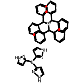 c1cc(B(c2cc[nH]n2)c2cc[nH]n2)n[nH]1.c1ccc([CH](c2ccccc2)[Zr]([CH](c2ccccc2)c2ccccc2)[CH](c2ccccc2)c2ccccc2)cc1